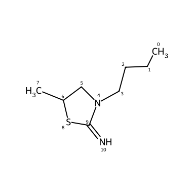 CCCCN1CC(C)SC1=N